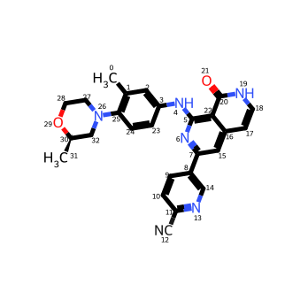 Cc1cc(Nc2nc(-c3ccc(C#N)nc3)cc3cc[nH]c(=O)c23)ccc1N1CCO[C@H](C)C1